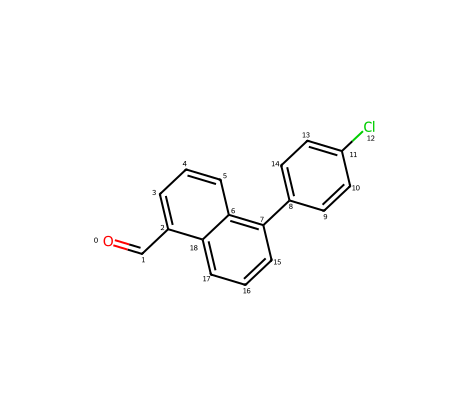 O=Cc1cccc2c(-c3ccc(Cl)cc3)cccc12